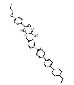 CCCOc1ccc(C(=O)N[C@@H](Cc2ccc(-c3ncc(-c4ccc(C5CCC(CC)CC5)cc4)cn3)cc2)C(=O)O)cc1